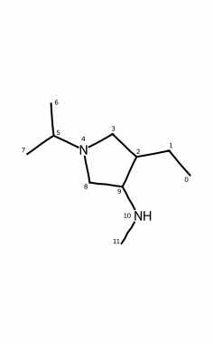 CCC1CN(C(C)C)CC1NC